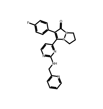 O=c1c(-c2ccc(F)cc2)c(-c2ccnc(NCc3ccccn3)n2)n2n1CCC2